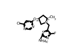 CC(=O)Nc1nc(F)c(CN2C[C@H](Oc3cc(Cl)ncn3)C[C@@H]2C)s1